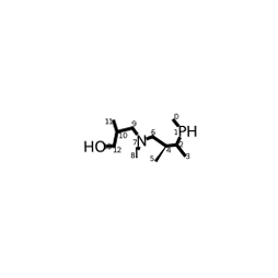 CPC(C)[C@@H](C)CN(I)CC(C)CO